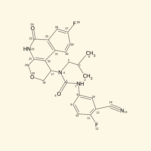 CC(C)CN(C(=O)Nc1ccc(F)c(C#N)c1)C1COCc2[nH]c(=O)c3cc(F)ccc3c21